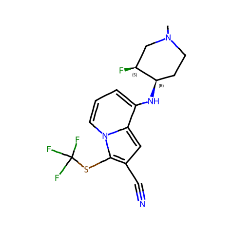 CN1CC[C@@H](Nc2cccn3c(SC(F)(F)F)c(C#N)cc23)[C@@H](F)C1